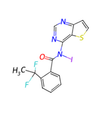 CC(F)(F)c1ccccc1C(=O)N(I)c1ncnc2ccsc12